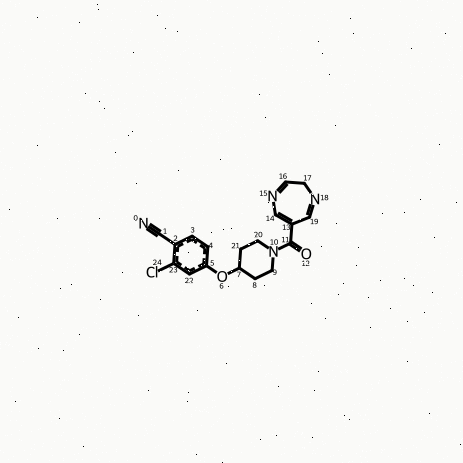 N#Cc1ccc(OC2CCN(C(=O)C3=CN=CCN=C3)CC2)cc1Cl